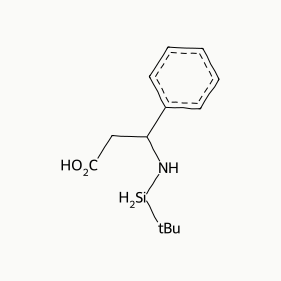 CC(C)(C)[SiH2]NC(CC(=O)O)c1ccccc1